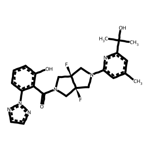 Cc1cc(N2C[C@]3(F)CN(C(=O)c4c(O)cccc4-n4nccn4)C[C@]3(F)C2)nc(C(C)(C)O)c1